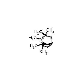 CC1(C)CC2CC[N+]1(C)C(C)(C)C2